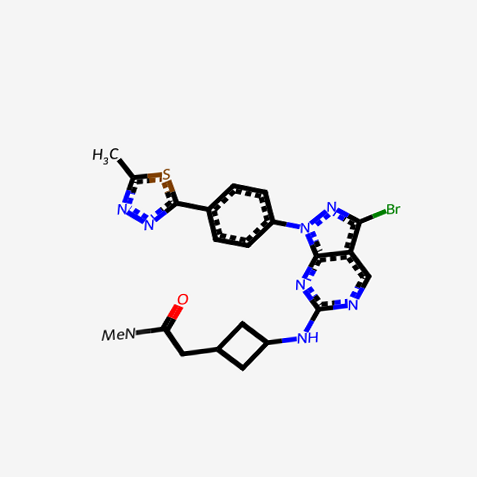 CNC(=O)CC1CC(Nc2ncc3c(Br)nn(-c4ccc(-c5nnc(C)s5)cc4)c3n2)C1